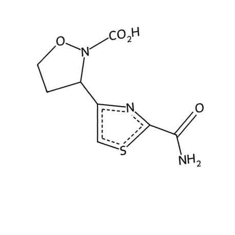 NC(=O)c1nc(C2CCON2C(=O)O)cs1